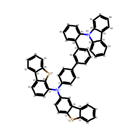 c1cc(-c2ccc(N(c3ccc4sc5ccccc5c4c3)c3cccc4c3sc3ccccc34)cc2)cc(-c2ccccc2-n2c3ccccc3c3ccccc32)c1